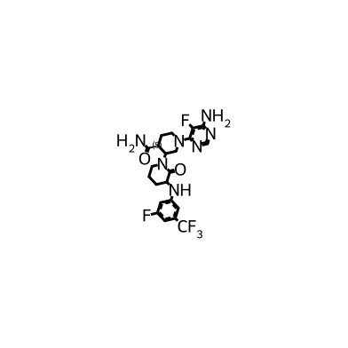 NC(=O)[C@H]1CCN(c2ncnc(N)c2F)CC1N1CCCC(Nc2cc(F)cc(C(F)(F)F)c2)C1=O